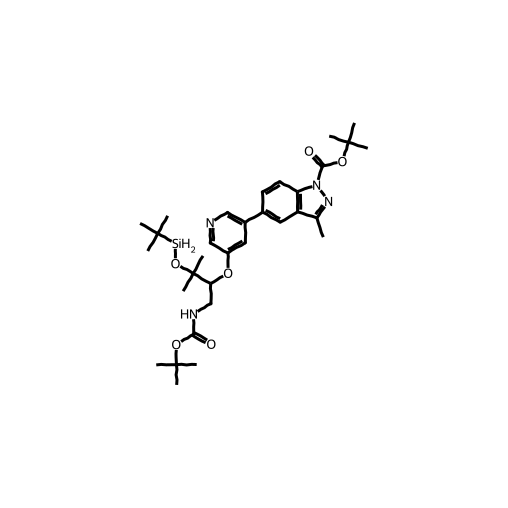 Cc1nn(C(=O)OC(C)(C)C)c2ccc(-c3cncc(OC(CNC(=O)OC(C)(C)C)C(C)(C)O[SiH2]C(C)(C)C)c3)cc12